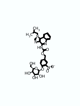 CC(C)Cn1cnc2c(NC(=O)OCc3ccc(O[C@@H]4O[C@H](CO)[C@H](O)[C@H](O)[C@H]4O)c([N+](=O)[O-])c3)nc3ccccc3c21